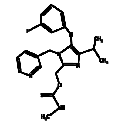 CNC(=S)OCc1nc(C(C)C)c(Sc2cccc(F)c2)n1Cc1cccnc1